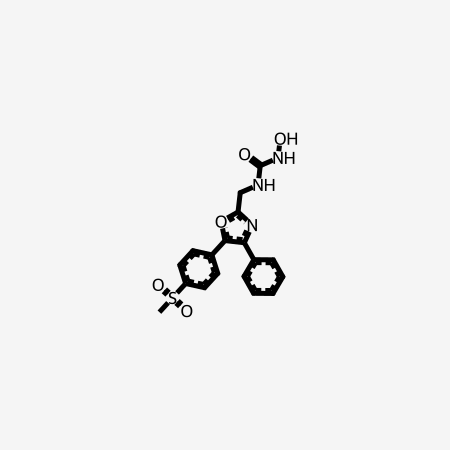 CS(=O)(=O)c1ccc(-c2oc(CNC(=O)NO)nc2-c2ccccc2)cc1